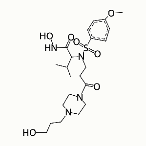 COc1ccc(S(=O)(=O)N(CCC(=O)N2CCN(CCCO)CC2)C(C(=O)NO)C(C)C)cc1